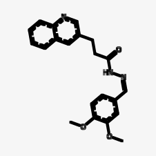 COc1ccc(/C=N\NC(=O)CCc2cnc3ccccc3c2)cc1OC